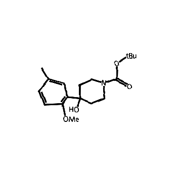 COc1ccc(C)cc1C1(O)CCN(C(=O)OC(C)(C)C)CC1